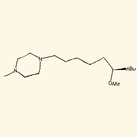 CCCC[C@H](CCCCCN1CCN(C)CC1)OC